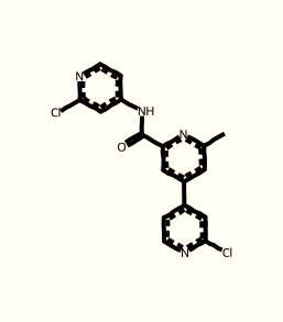 Cc1cc(-c2ccnc(Cl)c2)cc(C(=O)Nc2ccnc(Cl)c2)n1